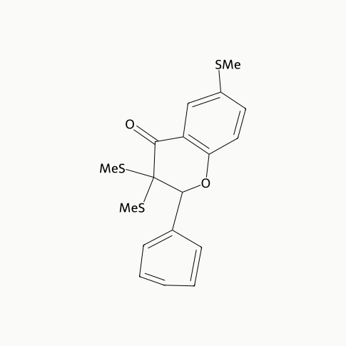 CSc1ccc2c(c1)C(=O)C(SC)(SC)C(c1ccccc1)O2